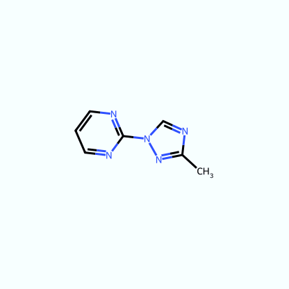 Cc1ncn(-c2ncccn2)n1